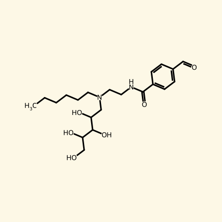 CCCCCCN(CCNC(=O)c1ccc(C=O)cc1)CC(O)C(O)C(O)CO